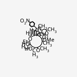 CC[C@H]1OC(=O)[C@H](C)[C@@H](OC(=O)Cc2ccc([N+](=O)[O-])cc2)[C@H](C)[C@@H](O[C@@H]2O[C@H](C)C[C@H](N(C)C)[C@H]2O)[C@](C)(OC)C[C@@H](C)C(=O)[C@H](C)[C@@H](O)[C@]1(C)O